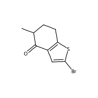 CC1CCc2sc(Br)cc2C1=O